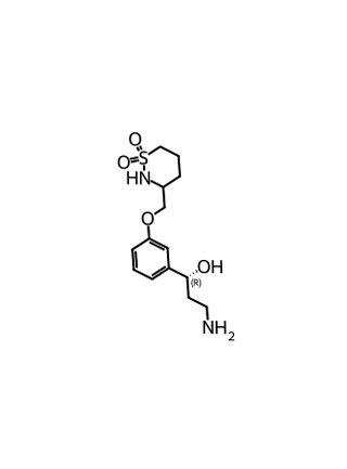 NCC[C@@H](O)c1cccc(OCC2CCCS(=O)(=O)N2)c1